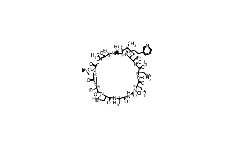 CC[C@H]1NC(=O)[C@H]([C@H](O)[C@H](C)CCCc2cccnc2)N(C)C(=O)C(C(C)C)N(C)C(=O)[C@@H](CC(C)C)N(C)C(=O)[C@@H](CC(C)C)N(C)C(=O)NC(=O)[C@@H](C)NC(=O)C(CC(C)C)N(C)C(=O)[C@@H](C(C)C)NC(=O)[C@H](CC(C)C)N(C)C(=O)CN(C)C1=O